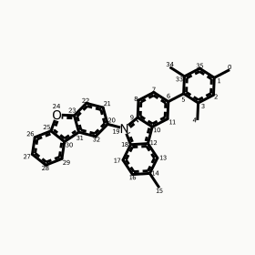 Cc1cc(C)c(-c2ccc3c(c2)c2cc(C)ccc2n3-c2ccc3oc4ccccc4c3c2)c(C)c1